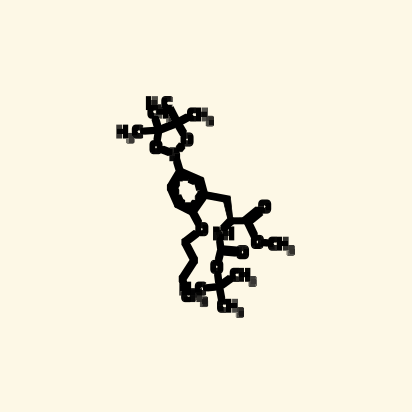 CCCCOc1ccc(B2OC(C)(C)C(C)(C)O2)cc1C[C@H](NC(=O)OC(C)(C)C)C(=O)OC